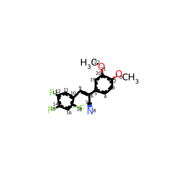 COc1ccc(C(C#N)=Cc2cc(F)c(F)cc2F)cc1OC